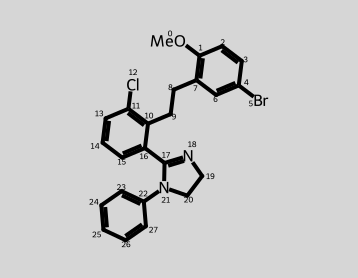 COc1ccc(Br)cc1CCc1c(Cl)cccc1C1=NCCN1c1ccccc1